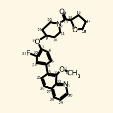 COc1c(-c2ccc(OC3CCN(C(=O)C4CCCO4)CC3)c(F)c2)ccc2cccnc12